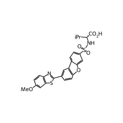 COc1ccc2nc(-c3ccc4oc5cc(S(=O)(=O)N[C@H](C(=O)O)C(C)C)ccc5c4c3)sc2c1